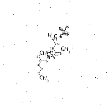 CCCCC(CC)C[NH2+]CC(CC)CCCC.F[B-](F)(F)F